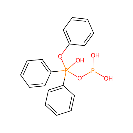 OP(O)OP(O)(Oc1ccccc1)(c1ccccc1)c1ccccc1